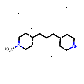 O=C(O)N1CCC(CCCC2CCNCC2)CC1